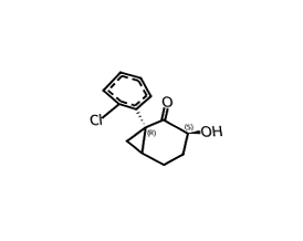 O=C1[C@@H](O)CCC2C[C@@]12c1ccccc1Cl